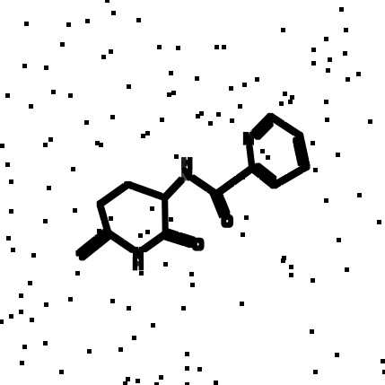 C=C1CCC(NC(=O)c2ccccn2)C(=O)N1